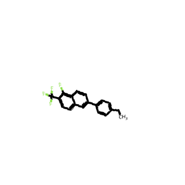 CCc1ccc(-c2ccc3c(F)c(C(F)(F)F)ccc3c2)cc1